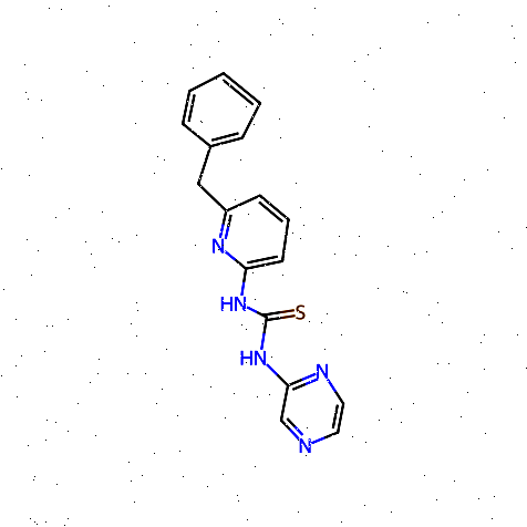 S=C(Nc1cnccn1)Nc1cccc(Cc2ccccc2)n1